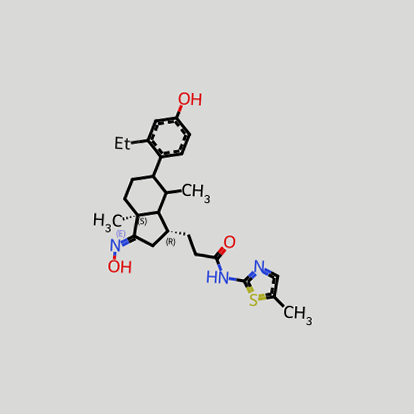 CCc1cc(O)ccc1C1CC[C@]2(C)/C(=N/O)C[C@@H](CCC(=O)Nc3ncc(C)s3)C2C1C